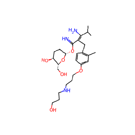 Cc1cc(OCCCNCCCO)ccc1C/C(C(=N)O[C@H]1CC[C@H](O)[C@@H](CO)O1)=C(/N)C(C)C